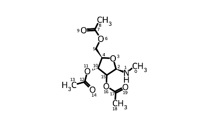 CN[C@@H]1O[C@H](COC(C)=O)[C@@H](OC(C)=O)C1OC(C)=O